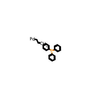 C=C[CH2][Pd].c1ccc(P(c2ccccc2)c2ccccc2)cc1